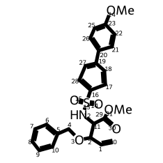 C=CC(OCc1ccccc1)C(NS(=O)(=O)c1ccc(-c2ccc(OC)cc2)cc1)C(=O)OC